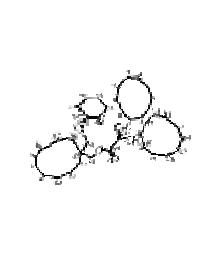 C1CCCCCCCCC1.C1CCCCCCCCC1.C=C(C)C(=O)OCC1(COC2CCCCO2)CCCCCCCCC1